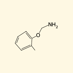 Cc1ccccc1OCN